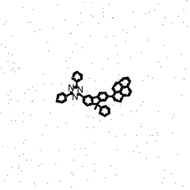 CC1(c2ccccc2)c2ccc(-c3nc(-c4ccccc4)nc(-c4ccccc4)n3)cc2-c2ccc(-c3ccc4ccc5cccc6ccc3c4c56)cc21